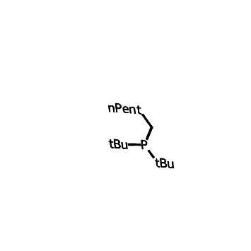 CCCCCCP(C(C)(C)C)C(C)(C)C